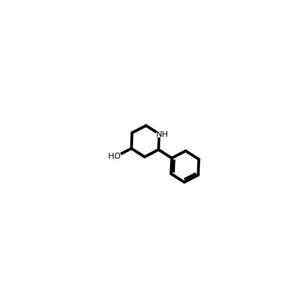 OC1CCNC(C2=CC=CCC2)C1